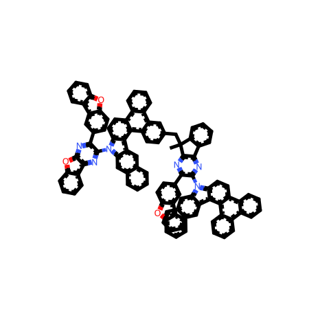 CC1(Cc2ccc3c(c2)c2ccccc2c2ccc4c(c5cc6ccccc6cc5n4-c4nc5c(nc4-c4ccc6oc7ccccc7c6c4)oc4ccccc45)c23)c2ccccc2-c2nc(-n3c4cc5ccccc5cc4c4c5c6ccccc6c6ccccc6c5ccc43)c(-c3ccc4oc5ccccc5c4c3)nc21